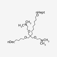 CCCCCCCCCCCCCCOCC(CCCCCCCCOCCCCCCC)(COCCN(C)C)COCCN(C)C